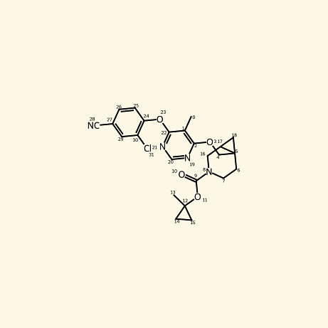 Cc1c(OCC23CCN(C(=O)OC4(C)CC4)CC2C3)ncnc1Oc1ccc(C#N)cc1Cl